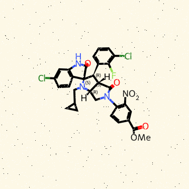 COC(=O)c1ccc(N2C[C@H]3[C@@H](C2=O)[C@H](c2cccc(Cl)c2F)[C@]2(C(=O)Nc4cc(Cl)ccc42)N3CC2CC2)c([N+](=O)[O-])c1